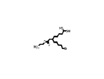 CCCOC(=O)CC(CCCCCBr)CCCCC(S)S